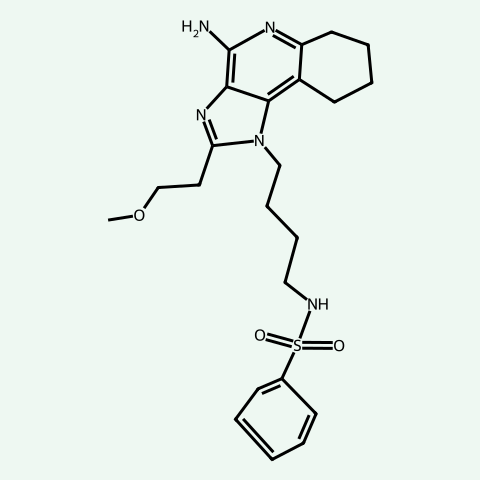 COCCc1nc2c(N)nc3c(c2n1CCCCNS(=O)(=O)c1ccccc1)CCCC3